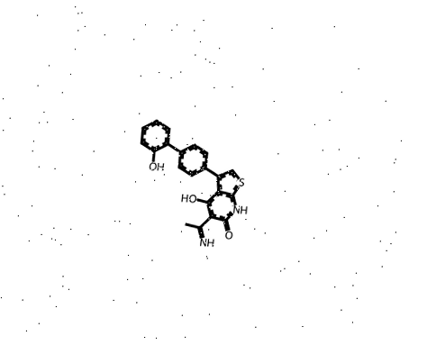 CC(=N)c1c(O)c2c(-c3ccc(-c4ccccc4O)cc3)csc2[nH]c1=O